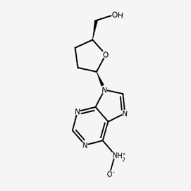 [O-][NH2+]c1ncnc2c1ncn2[C@H]1CC[C@@H](CO)O1